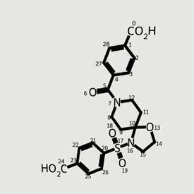 O=C(O)c1ccc(C(=O)N2CCC3(CC2)OCCN3S(=O)(=O)c2ccc(C(=O)O)cc2)cc1